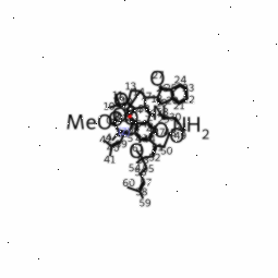 COC(=O)/C(C)=C\CC12OC(C)(C)C3CC(C1=O)C1C4=C(c5ccccc5C4=O)N(CCN)C4=C1C32Oc1c(CC=C(C)C)c2c3c(c14)OC(=O)CC3=CC(C)(CCC=C(C)C)O2